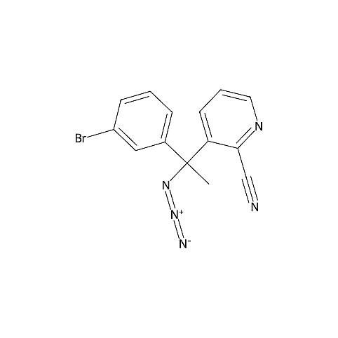 CC(N=[N+]=[N-])(c1cccc(Br)c1)c1cccnc1C#N